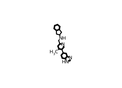 Cc1cc(CNC2Cc3ccccc3C2)ncc1-c1ccc2[nH]cnc2c1